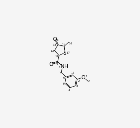 COc1cccc(CNC(=O)C2CC(=O)C(C)S2)c1